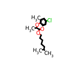 Cc1cc(Cl)ccc1OC(C)C(=O)OCCCCCC(C)C